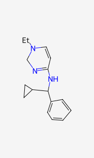 CCN1C=CC(NC(c2ccccc2)C2CC2)=NC1